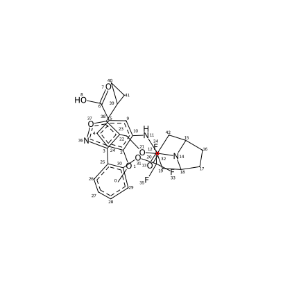 COc1ccc(C(=O)O)cc1NC(=O)N1C2CCC1CC(OCc1c(-c3ccccc3OC(F)(F)F)noc1C1CC1)C2